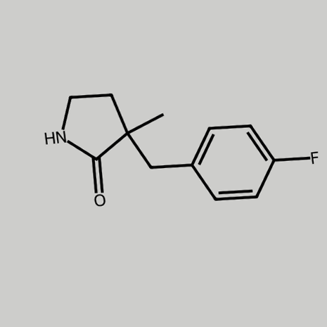 CC1(Cc2ccc(F)cc2)CCNC1=O